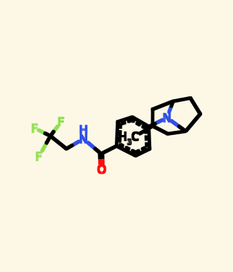 CC1CC2CCC(C1)N2c1ccc(C(=O)NCC(F)(F)F)cc1